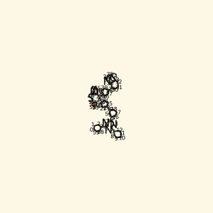 c1ccc(-c2nc(-c3ccccc3)nc(-c3cccc(-c4ccc5c(c4)-c4cc(-c6cccc7cccnc67)ccc4C54c5ccccc5Sc5ccccc54)c3)n2)cc1